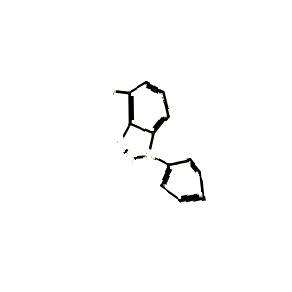 Nc1cccc2c1nnn2-c1ccccc1